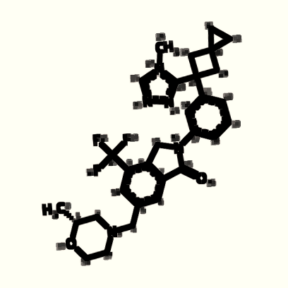 C[C@@H]1CN(Cc2cc3c(c(C(F)(F)F)c2)CN(c2cccc(C4(c5nncn5C)CC5(CC5)C4)c2)C3=O)CCO1